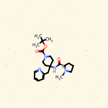 CN1CCC[C@@H]1C(=O)NC1(Cc2ccccn2)CCN(C(=O)OC(C)(C)C)CC1